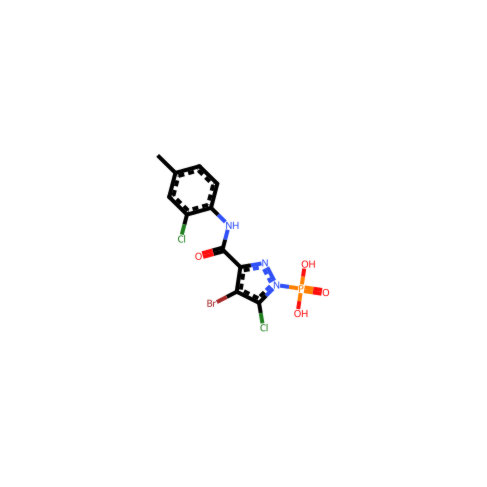 Cc1ccc(NC(=O)c2nn(P(=O)(O)O)c(Cl)c2Br)c(Cl)c1